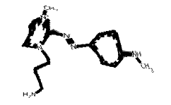 CNc1ccc(N=Nc2n(CCCN)cc[n+]2C)cc1